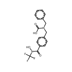 O=C(O)N(Cc1ccccc1)Cc1ccc(C(=O)N(O)C(F)(F)F)cc1